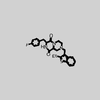 CCc1sc2ccccc2c1CN1CCN2C(=O)C(Cc3ccc(F)cc3)NC(=O)C2C1